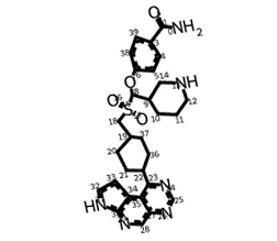 NC(=O)c1ccc(OC(C2CCCNC2)S(=O)(=O)CC2CCC(c3ncnc4cnc5[nH]ccc5c34)CC2)cc1